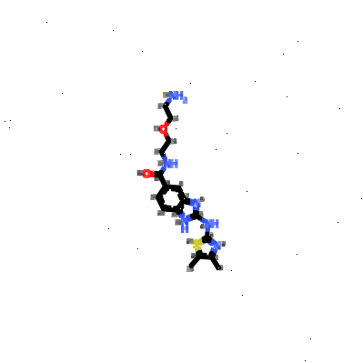 Cc1nc(Nc2nc3cc(C(=O)NCCOCCN)ccc3[nH]2)sc1C